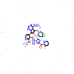 COc1nccc(-c2cc(CN3CCC(F)(F)CC3)c3c(N)ncnn23)c1C(=O)N[C@@H]1CN(C(=O)c2ncccc2F)C[C@@H]1F